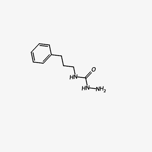 NNC(=O)NCCCc1ccccc1